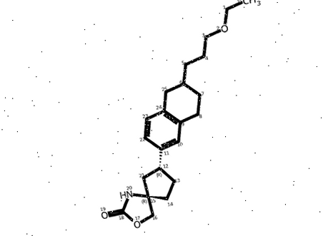 CCOCCCC1CCc2cc([C@@H]3CC[C@]4(COC(=O)N4)C3)ccc2C1